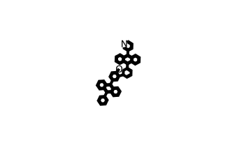 C1=CC2c3cc(-c4c5ccccc5c(-c5ccccc5)c5ccccc45)ccc3OC2C(c2c3ccccc3c(-c3cccnc3)c3ccccc23)=C1